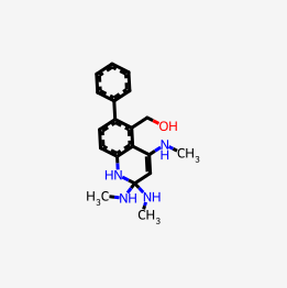 CNC1=CC(NC)(NC)Nc2ccc(-c3ccccc3)c(CO)c21